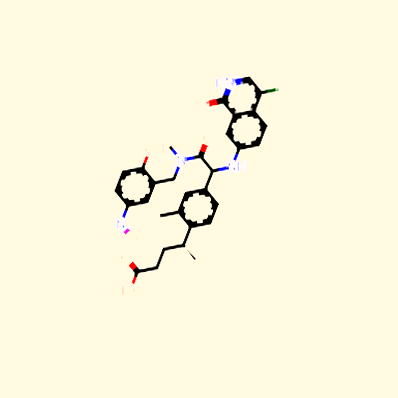 Cc1cc(C(Nc2ccc3c(F)c[nH]c(=O)c3c2)C(=O)N(C)Cc2cc(N=O)ccc2O)ccc1[C@@H](C)CCC(=O)O